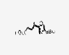 CCCCCCCCCCC(C)C1=NC(CCCC)CO1